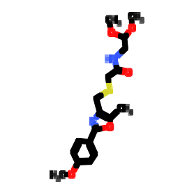 COc1ccc(-c2nc(CSCC(=O)NCC(OC)OC)c(C)o2)cc1